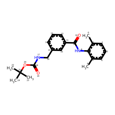 Cc1cccc(C)c1NC(=O)c1cccc(CNC(=O)OC(C)(C)C)c1